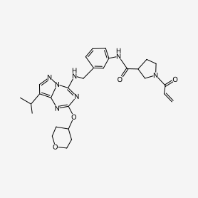 C=CC(=O)N1CCC(C(=O)Nc2cccc(CNc3nc(OC4CCOCC4)nc4c(C(C)C)cnn34)c2)C1